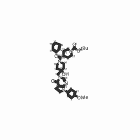 COc1ccc(-n2ccc3c(=O)n(CC4(O)CCN(C(=O)[C@@H]5CCN(C(=O)OC(C)(C)C)C[C@H]5c5ccccc5)CC4)cnc32)cc1